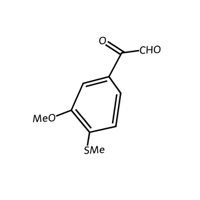 COc1cc(C(=O)C=O)ccc1SC